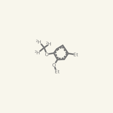 [2H]C([2H])([2H])Oc1ccc(C[CH2])cc1OCC